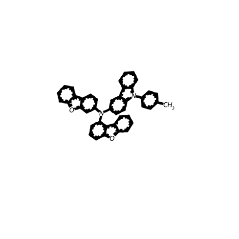 Cc1ccc(-n2c3ccccc3c3cc(N(c4ccc5c(c4)oc4ccccc45)c4cccc5oc6ccccc6c45)ccc32)cc1